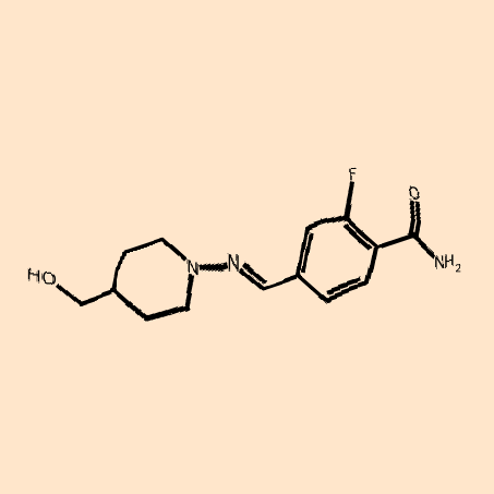 NC(=O)c1ccc(C=NN2CCC(CO)CC2)cc1F